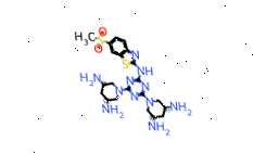 CS(=O)(=O)c1ccc2nc(Nc3nc(N4C[C@H](N)C[C@H](N)C4)nc(N4C[C@H](N)C[C@H](N)C4)n3)sc2c1